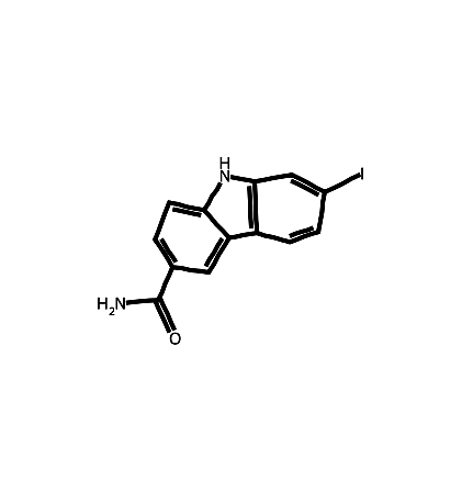 NC(=O)c1ccc2[nH]c3cc(I)ccc3c2c1